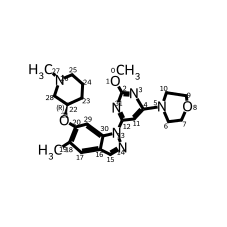 COc1nc(N2CCOCC2)cc(-n2ncc3cc(C)c(O[C@@H]4CCCN(C)C4)cc32)n1